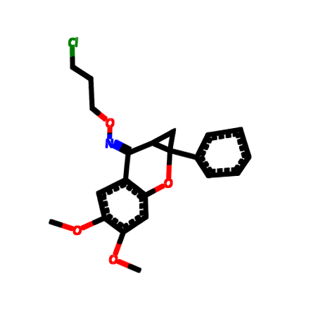 COc1cc2c(cc1OC)C(=NOCCCCl)C1CC1(c1ccccc1)O2